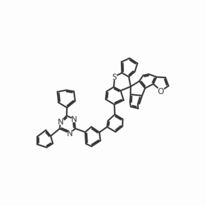 c1ccc(-c2nc(-c3ccccc3)nc(-c3cccc(-c4cccc(-c5ccc6c(c5)C5(c7ccccc7S6)c6ccccc6-c6c5ccc5ccoc65)c4)c3)n2)cc1